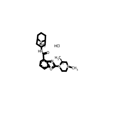 C[C@H]1CN(C)CCN1c1nc2c(C(=O)NC3CC4CCCC(C3)N4C)cccc2o1.Cl